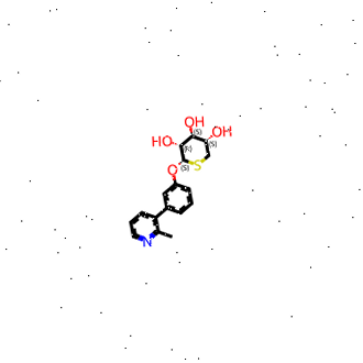 Cc1ncccc1-c1cccc(O[C@H]2SC[C@@H](O)[C@H](O)[C@H]2O)c1